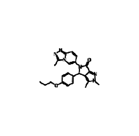 CCCOc1ccc(C2c3c(nn(C)c3C)C(=O)N2c2ccc3nnc(C)n3c2)cc1